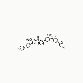 COc1cc(Nc2ncnc(-c3ccc(O[C@H]4CCN(C(=O)CC#N)C[C@@H]4F)c(C#N)c3)n2)ccc1N1CCC(N2CCOCC2)CC1